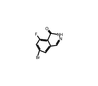 O=c1[nH]ncc2cc(Br)cc(F)c12